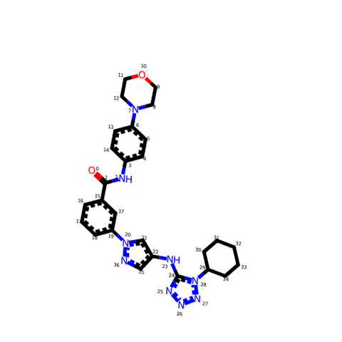 O=C(Nc1ccc(N2CCOCC2)cc1)c1cccc(-n2cc(Nc3nnnn3C3CCCCC3)cn2)c1